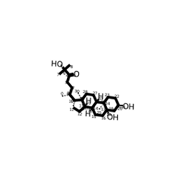 C[C@H](CCC(=O)C(C)(C)O)[C@H]1CC[C@H]2[C@@H]3CC[C@@]4(O)C[C@H](O)CC[C@]4(C)[C@H]3CC[C@]12C